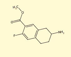 COC(=O)c1cc2c(cc1F)CCC(N)C2